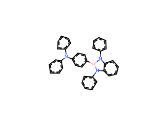 c1ccc(N2B(c3ccc(N(c4ccccc4)c4ccccc4)cc3)N(c3ccccc3)c3ccccc32)cc1